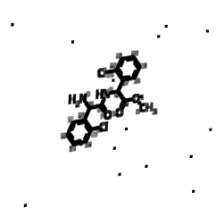 COC(=O)C(NC(=O)C(N)c1ccccc1Cl)c1ccccc1Cl